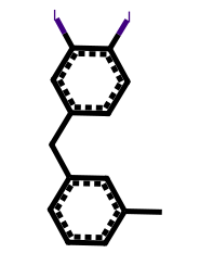 Cc1cccc(Cc2ccc(I)c(I)c2)c1